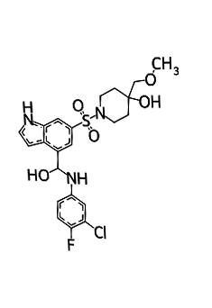 COCC1(O)CCN(S(=O)(=O)c2cc(C(O)Nc3ccc(F)c(Cl)c3)c3cc[nH]c3c2)CC1